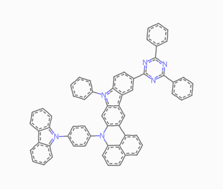 c1ccc(-c2nc(-c3ccccc3)nc(-c3ccc4c(c3)c3cc5c(cc3n4-c3ccccc3)N(c3ccc(-n4c6ccccc6c6ccccc64)cc3)c3cccc4cccc-5c34)n2)cc1